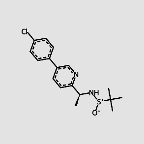 C[C@H](N[S+]([O-])C(C)(C)C)c1ccc(-c2ccc(Cl)cc2)cn1